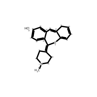 CN1CCC(=C2SC3=CC=CCC3=Cc3ccccc32)CC1.Cl